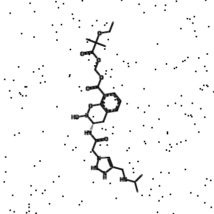 CCOC(C)(C)C(=O)OCOC(=O)c1cccc2c1OB(O)[C@@H](NC(=O)CN1C=C(CNC(C)C)NN1)C2